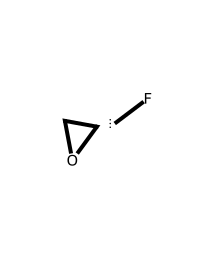 C1CO1.[C]F